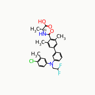 Cc1cc(N(CC(F)F)c2cccc(-c3cc(C)c(C(=O)N[C@@H](C)C(=O)O)c(C)c3)c2)ccc1Cl